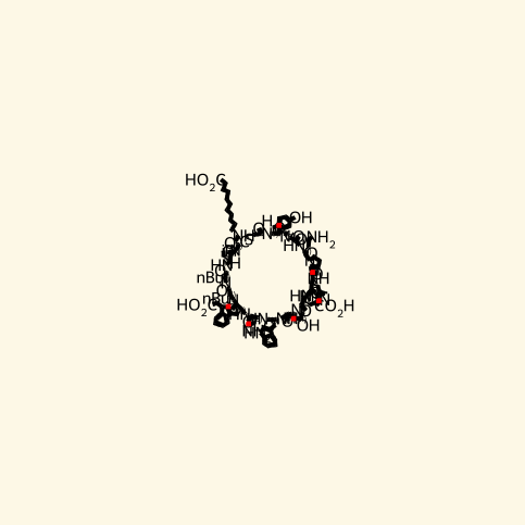 CCCC[C@H]1C(=O)N(C)[C@@H](CCCC)C(=O)N[C@@H](CC(C)C)C(=O)N[C@H](C(=O)NCCCCCCCCCCC(=O)O)CSCC(=O)N[C@@H](Cc2ccc(O)cc2)C(=O)N(C)[C@@H](C)C(=O)N[C@@H](CC(N)=O)C(=O)N2CCC[C@H]2C(=O)N[C@@H](Cc2cnc[nH]2)C(=O)N[C@@H](CCC(=O)O)C(=O)N2C[C@H](O)C[C@H]2C(=O)N[C@@H](Cc2c[nH]c3ccccc23)C(=O)N[C@@H](CCN)C(=O)N[C@@H](CC2=CC(CC(=O)O)c3ccccc32)C(=O)N1C